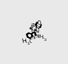 CC(C)Cn1c(N2CCOCC2)nc2c(N)nc3c(c21)CCCC3C